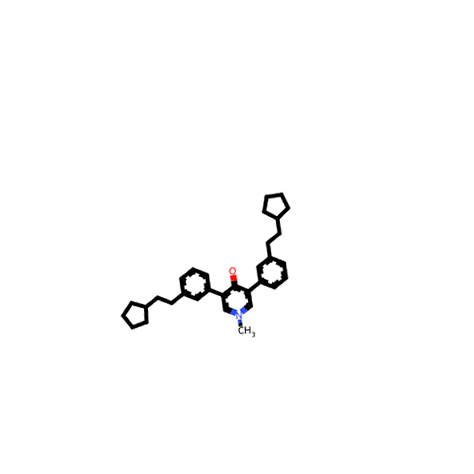 Cn1cc(-c2cccc(CCC3CCCC3)c2)c(=O)c(-c2cccc(CCC3CCCC3)c2)c1